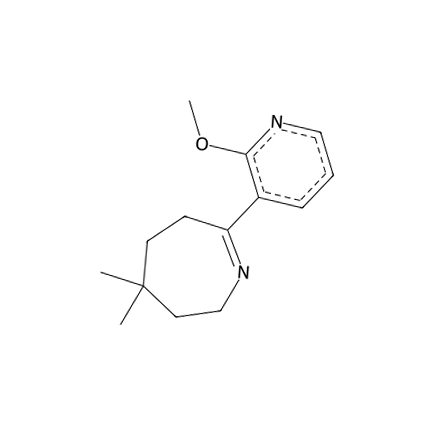 COc1ncccc1C1=NCCC(C)(C)CC1